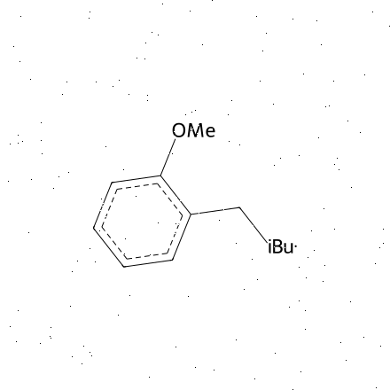 CC[C](C)Cc1ccccc1OC